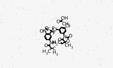 C=CC1(C)OC(=O)N(c2cc(Cl)cc(Cl)c2)C1=O.CC(=O)O.CC(C)C(=O)Nc1ccc([N+](=O)[O-])c(C(F)(F)F)c1